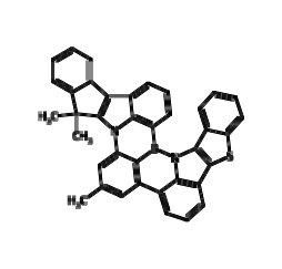 Cc1cc2c3c(c1)-n1c4c(c5cccc(c51)B3n1c3c-2cccc3c2sc3ccccc3c21)-c1ccccc1C4(C)C